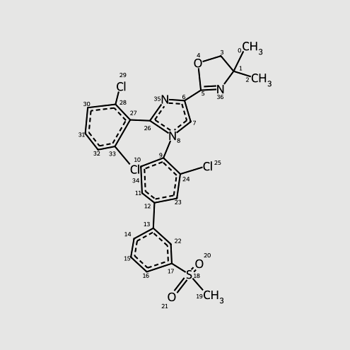 CC1(C)COC(c2cn(-c3ccc(-c4cccc(S(C)(=O)=O)c4)cc3Cl)c(-c3c(Cl)cccc3Cl)n2)=N1